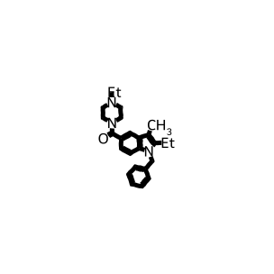 CCc1c(C)c2cc(C(=O)N3CCN(CC)CC3)ccc2n1Cc1ccccc1